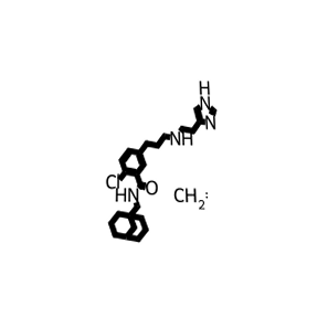 O=C(NCC12CCCC(CCC1)C2)c1cc(CCCNCCc2c[nH]cn2)ccc1Cl.[CH2]